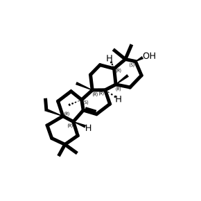 CC[C@]12CCC(C)(C)C[C@H]1C1=CC[C@@H]3[C@@]4(C)CC[C@H](O)C(C)(C)[C@@H]4CC[C@@]3(C)[C@]1(C)CC2